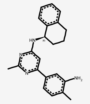 Cc1nc(N[C@@H]2CCCc3ccccc32)cc(-c2ccc(C)c(N)c2)n1